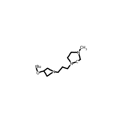 CN1CCN(CCCN2CC(OC(C)(C)C)C2)CC1